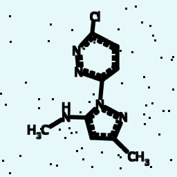 CNc1cc(C)nn1-c1ccc(Cl)nn1